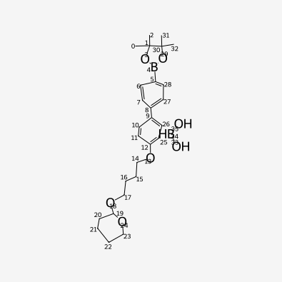 CC1(C)OB(c2ccc(-c3ccc(OCCCCOC4CCCCO4)cc3)cc2)OC1(C)C.OBO